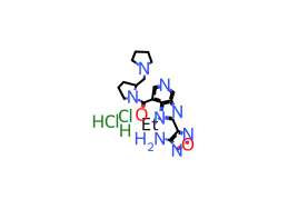 CCn1c(-c2nonc2N)nc2cncc(C(=O)N3CCCC3CN3CCCC3)c21.Cl.Cl